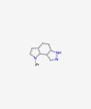 CC(C)n1ccc2ccc3[nH]ncc3c21